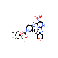 CC1(Nc2ncc([N+](=O)[O-])c(NC3CCN(C(=O)OC(C)(C)C)CC3)n2)CCOCC1